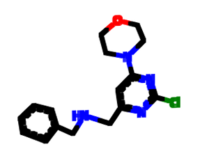 Clc1nc(CNCc2ccccc2)cc(N2CCOCC2)n1